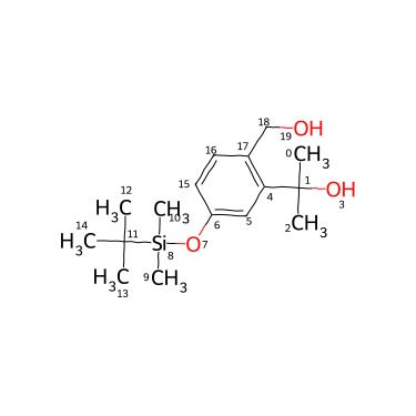 CC(C)(O)c1cc(O[Si](C)(C)C(C)(C)C)ccc1CO